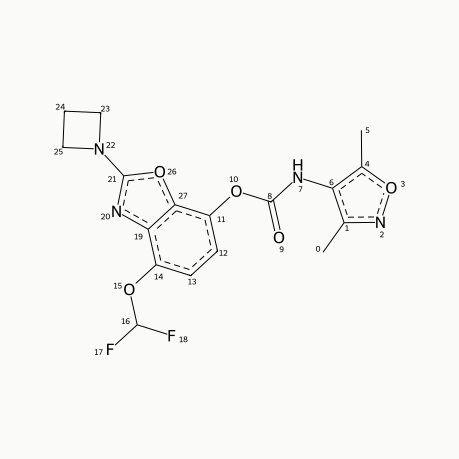 Cc1noc(C)c1NC(=O)Oc1ccc(OC(F)F)c2nc(N3CCC3)oc12